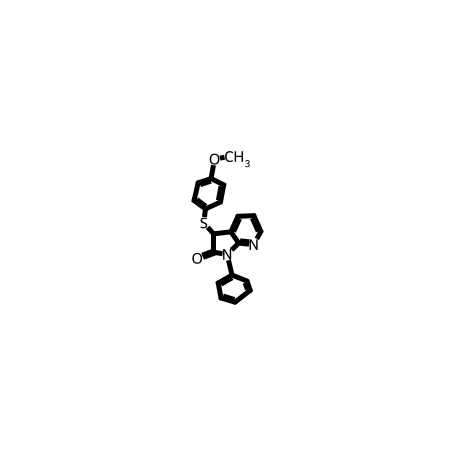 COc1ccc(SC2C(=O)N(c3ccccc3)c3ncccc32)cc1